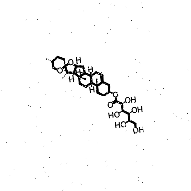 C[C@@H]1CC[C@@]2(OC1)O[C@H]1C[C@H]3[C@@H]4CC=C5C[C@@H](OC(=O)[C@H](O)[C@@H](O)[C@H](O)[C@H](O)CO)CC[C@]5(C)[C@H]4CC[C@]3(C)[C@H]1[C@@H]2C